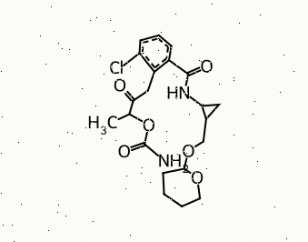 CC(OC(N)=O)C(=O)Cc1c(Cl)cccc1C(=O)NC1CC1COC1CCCCO1